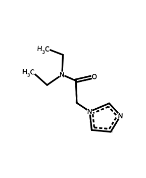 CCN(CC)C(=O)Cn1c[c]nc1